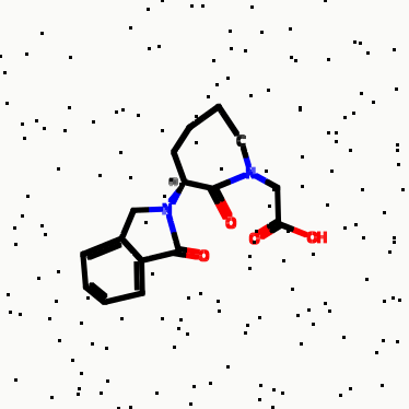 O=C(O)CN1CCCC[C@H](N2Cc3ccccc3C2=O)C1=O